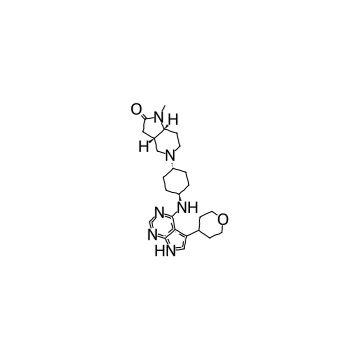 CN1C(=O)C[C@H]2CN([C@H]3CC[C@H](Nc4ncnc5[nH]cc(C6CCOCC6)c45)CC3)CC[C@H]21